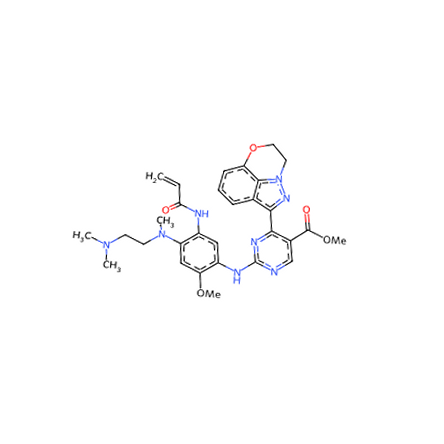 C=CC(=O)Nc1cc(Nc2ncc(C(=O)OC)c(-c3nn4c5c(cccc35)OCC4)n2)c(OC)cc1N(C)CCN(C)C